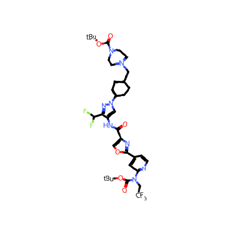 CC(C)(C)OC(=O)N1CCN(CC2CCC(n3cc(NC(=O)c4coc(-c5ccnc(N(CC(F)(F)F)C(=O)OC(C)(C)C)c5)n4)c(C(F)F)n3)CC2)CC1